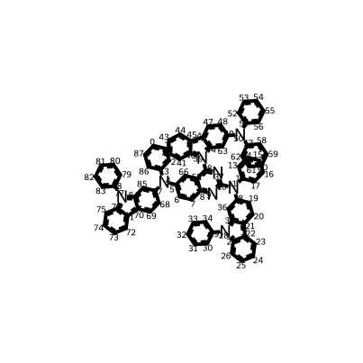 c1ccc(N(c2ccc3nc(N(c4ccccc4)c4ccc5c6ccccc6n(-c6ccccc6)c5c4)nc(-n4c5ccccc5c5ccc(N(c6ccccc6)c6ccccc6)cc54)c3c2)c2ccc3c4ccccc4n(-c4ccccc4)c3c2)cc1